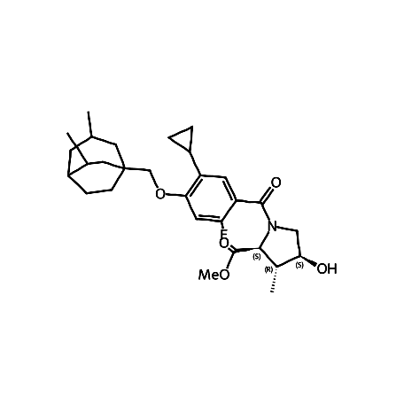 COC(=O)[C@@H]1[C@@H](C)[C@H](O)CN1C(=O)c1cc(C2CC2)c(OCC23CCC(CC(C)C2)C(C)C3)cc1F